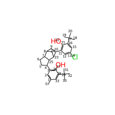 Cc1cc(C2CCC3C4CC(c5cc(Cl)cc(C(C)(C)C)c5O)C(C4)C23)c(O)c(C(C)(C)C)c1